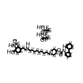 O=C(Nc1ccccc1-c1ccccc1)OC1CCN(CCCCCCCCCNCCc2ccc(O)c3[nH]c(=O)sc23)CC1.O=C(O)C(F)(F)F.O=C(O)C(F)(F)F